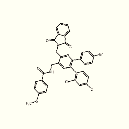 O=C(NCc1cc(-c2ccc(Cl)cc2Cl)c(-c2ccc(Br)cc2)nc1CN1C(=O)c2ccccc2C1=O)c1ccc(SC(F)(F)F)cc1